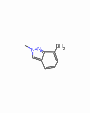 Bc1cccc2cn(C)nc12